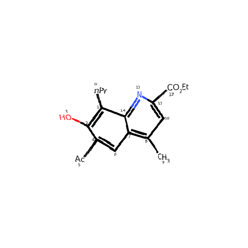 CCCc1c(O)c(C(C)=O)cc2c(C)cc(C(=O)OCC)nc12